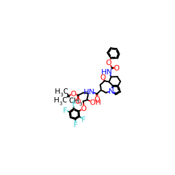 CC(C)(C)OC(=O)CC(NC(=O)C1CC(=O)C2c3c(ccn3C1)CCC2NC(=O)Oc1ccccc1)C(O)COc1c(F)c(F)cc(F)c1F